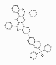 Cc1c2c(-c3ccccc3)nc3cc(-c4ccc5cc(P(=O)(c6ccccc6)c6ccccc6)ccc5c4)ccc3c2c(C)c2c(-c3ccccc3)nc3ccccc3c12